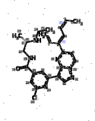 C=C/C(=C\C=C/C)c1ccn2ncc(-c3cc(C(=O)NC[C@H](C)NCC)cc(Cl)n3)c2n1